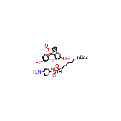 CCCCCCCCCCCCCCCCCC(=O)NS(=O)(=O)c1ccc(N)cc1.O=C1OC2(c3ccc(O)cc3Oc3cc(O)ccc32)c2ccccc21